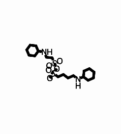 O=S(=O)(CCCCNC1CCCCC1)OS(=O)(=O)CCNC1CCCCC1